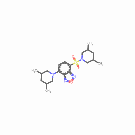 CC1CC(C)CN(c2ccc(S(=O)(=O)N3CC(C)CC(C)C3)c3nonc23)C1